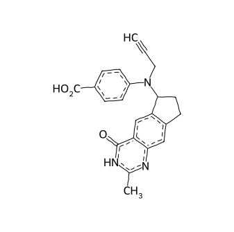 C#CCN(c1ccc(C(=O)O)cc1)C1CCc2cc3nc(C)[nH]c(=O)c3cc21